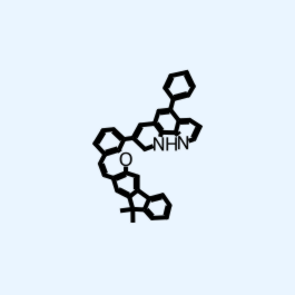 CC1(C)c2ccccc2-c2cc3c(cc21)C=Cc1cccc(C2=Cc4cc(-c5ccccc5)c5cccnc5c4NC2)c1O3